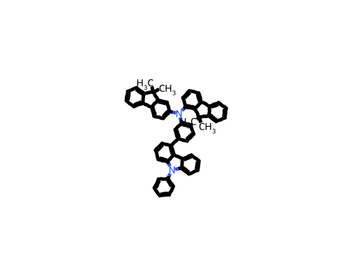 CC1(C)c2ccccc2-c2ccc(N(c3cccc(-c4cccc5c4c4ccccc4n5-c4ccccc4)c3)c3cccc4c3C(C)(C)c3ccccc3-4)cc21